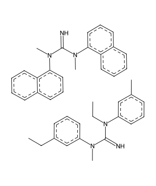 CCc1cccc(N(C)C(=N)N(CC)c2cccc(C)c2)c1.CN(C(=N)N(C)c1cccc2ccccc12)c1cccc2ccccc12